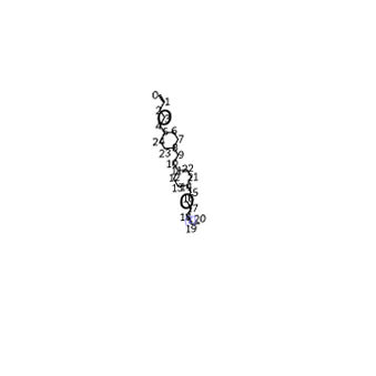 C=CCOCC1CCC(CCC2CCC(COC/C=C\C)CC2)CC1